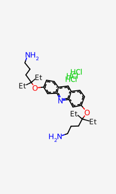 CCC(CC)(CCCN)Oc1ccc2cc3ccc(OC(CC)(CC)CCCN)cc3nc2c1.Cl.Cl.Cl